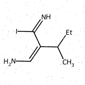 CCC(C)/C(=C/N)C(=N)I